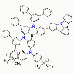 CC(C)(C)c1ccc(N(c2ccc(C(C)(C)C)cc2)c2ccc3c(c2)N(c2cc(-c4ccccc4)cc(-c4ccccc4)c2)c2cc(-c4ccccc4)cc4c2B3c2ccc(-c3ccc5c(c3)c3cccc6c7ccccc7n5c63)cc2N4c2cc(-c3ccccc3)cc(-c3ccccc3)c2)cc1